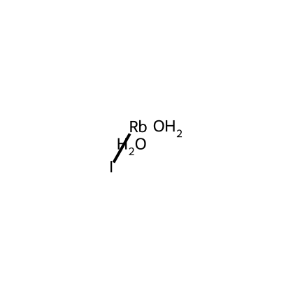 O.O.[Rb][I]